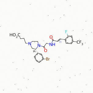 O=C(O)CCCN1CCN(C(=O)CNC(=O)/C=C/c2ccc(C(F)(F)F)cc2F)[C@H](c2cccc(Br)c2)C1